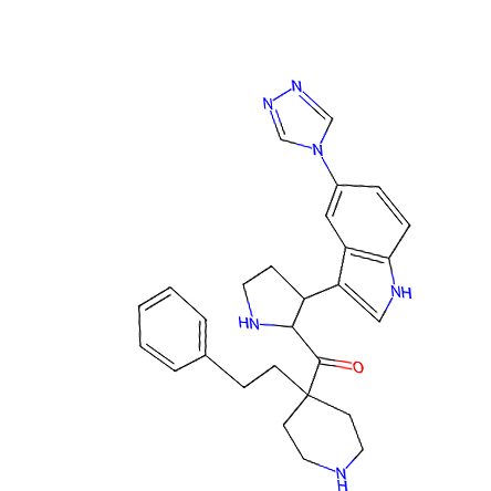 O=C(C1NCCC1c1c[nH]c2ccc(-n3cnnc3)cc12)C1(CCc2ccccc2)CCNCC1